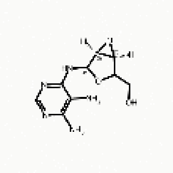 Nc1ncnc(N[C@@H]2OC(CO)[C@@H]3O[C@H]23)c1N